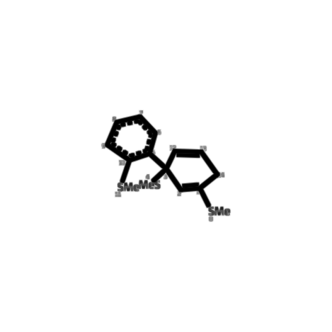 CSC1=CC(SC)(c2ccccc2SC)C=C[CH]1